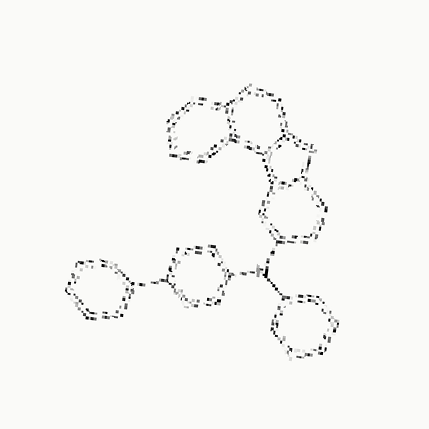 c1ccc(-c2ccc(N(c3ccccc3)c3ccc4sc5ccc6ccccc6c5c4c3)cc2)cc1